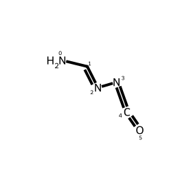 NC=NN=C=O